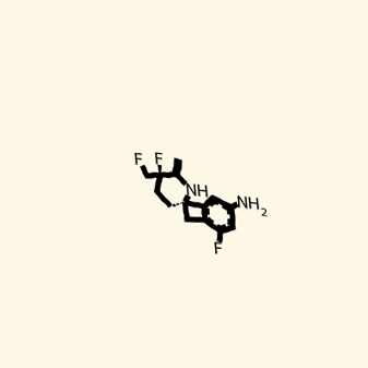 C=C1N[C@]2(CC[C@]1(F)CF)Cc1c(F)cc(N)cc12